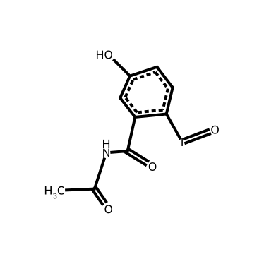 CC(=O)NC(=O)c1cc(O)ccc1I=O